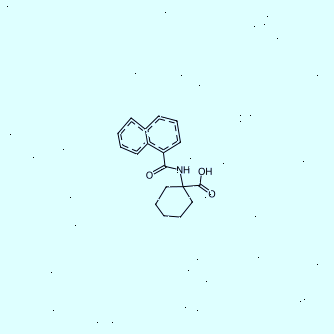 O=C(NC1(C(=O)O)CCCCC1)c1cccc2ccccc12